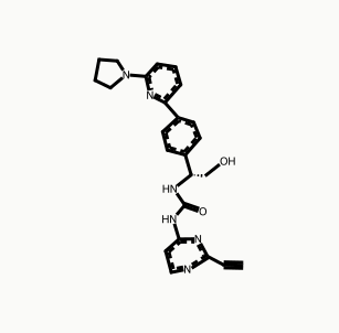 C#Cc1nccc(NC(=O)N[C@@H](CO)c2ccc(-c3cccc(N4CCCC4)n3)cc2)n1